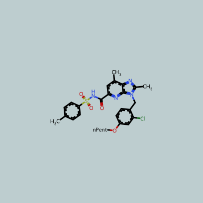 CCCCCOc1ccc(Cn2c(C)nc3c(C)cc(C(=O)NS(=O)(=O)c4ccc(C)cc4)nc32)c(Cl)c1